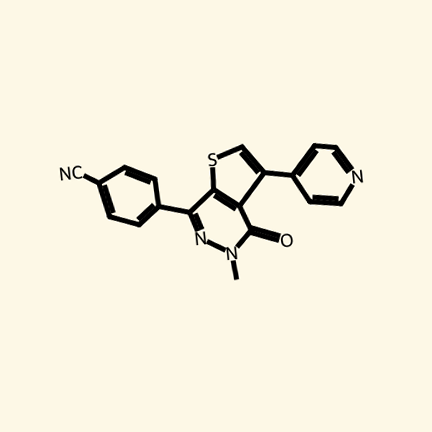 Cn1nc(-c2ccc(C#N)cc2)c2scc(-c3ccncc3)c2c1=O